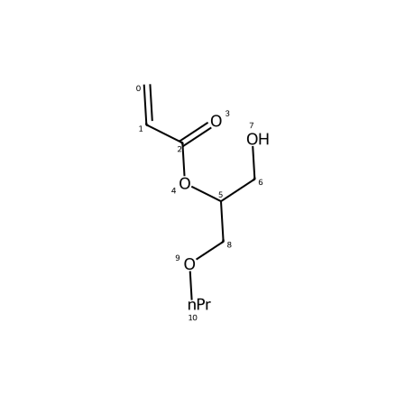 C=CC(=O)OC(CO)COCCC